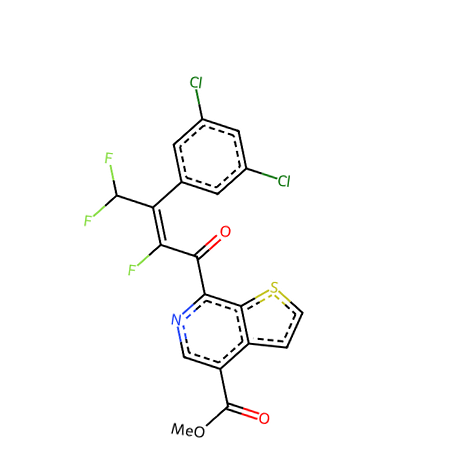 COC(=O)c1cnc(C(=O)/C(F)=C(\c2cc(Cl)cc(Cl)c2)C(F)F)c2sccc12